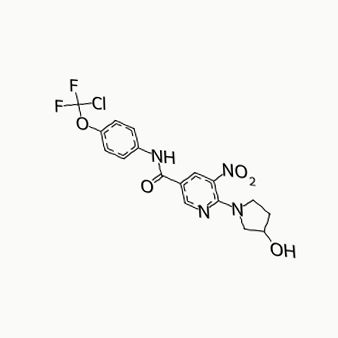 O=C(Nc1ccc(OC(F)(F)Cl)cc1)c1cnc(N2CCC(O)C2)c([N+](=O)[O-])c1